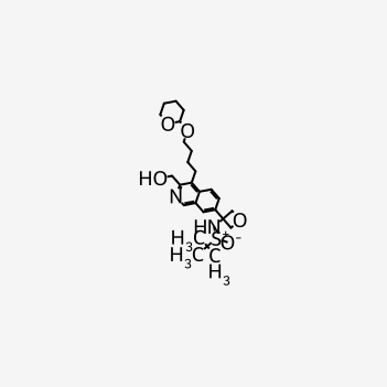 CC(C)(C)[S+]([O-])NC1(c2ccc3c(CCCCOC4CCCCO4)c(CO)ncc3c2)COC1